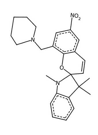 CN1c2ccccc2C(C)(C)C12C=Cc1cc([N+](=O)[O-])cc(CN3CCCCC3)c1O2